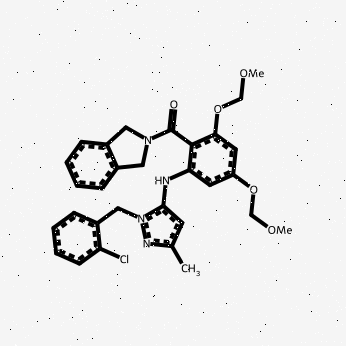 COCOc1cc(Nc2cc(C)nn2Cc2ccccc2Cl)c(C(=O)N2Cc3ccccc3C2)c(OCOC)c1